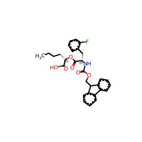 CCCC[C@H](OC(=O)[C@H](Cc1ccccc1F)NC(=O)OCC1c2ccccc2-c2ccccc21)C(=O)O